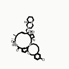 CCO[C@@]1(CN2CCN3CCCC[C@@H]3C2)/C=C/C[C@H](C)[C@@H](C)S(=O)(=O)NC(=O)c2ccc3c(c2)N(CCCCc2cc(Cl)ccc2CO3)C[C@@H]2CC[C@H]21